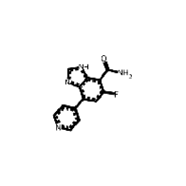 NC(=O)c1c(F)cc(-c2ccncc2)c2nc[nH]c12